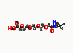 CC(C)(C)CNC(=O)COCCOCCOCCOCC(=O)O